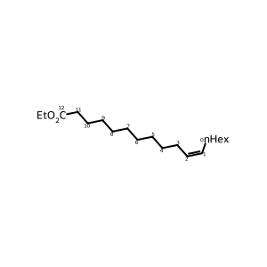 CCCCCC/C=C\CCCCCCCCCC(=O)OCC